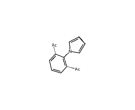 CC(=O)c1cccc(C(C)=O)c1-n1cccc1